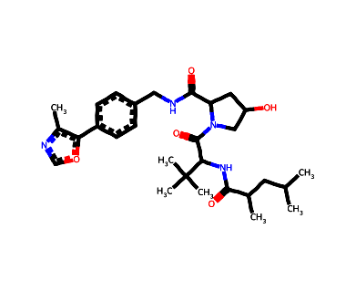 Cc1ncoc1-c1ccc(CNC(=O)C2CC(O)CN2C(=O)C(NC(=O)C(C)CC(C)C)C(C)(C)C)cc1